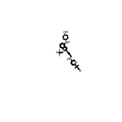 CC(C)(C#N)c1ccc(NCC#Cc2cc3c(N[C@H]4CC[C@@H](O)CC4)cccc3n2CC(F)(F)F)cn1